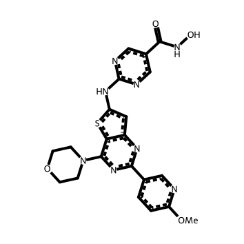 COc1ccc(-c2nc(N3CCOCC3)c3sc(Nc4ncc(C(=O)NO)cn4)cc3n2)cn1